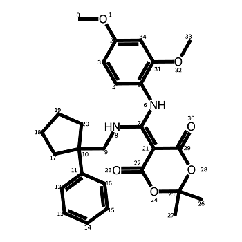 COc1ccc(NC(NCC2(c3ccccc3)CCCC2)=C2C(=O)OC(C)(C)OC2=O)c(OC)c1